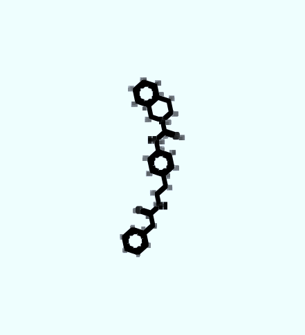 O=C(Cc1ccccc1)NCCc1ccc(NC(=O)N2CCc3ccccc3C2)cc1